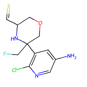 Nc1cnc(Cl)c(C2(CF)COCC(C=S)N2)c1